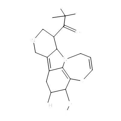 COC1C2=C3C(=C4CNCC(C(=O)C(F)(F)F)C4N3CC=CS2)CC1C